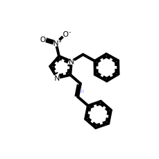 O=[N+]([O-])c1cnc(/C=C/c2ccccc2)n1Cc1ccccc1